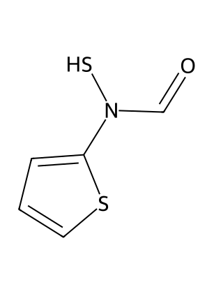 O=CN(S)c1cccs1